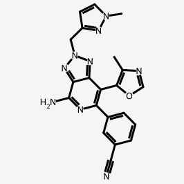 Cc1ncoc1-c1c(-c2cccc(C#N)c2)nc(N)c2nn(Cc3ccn(C)n3)nc12